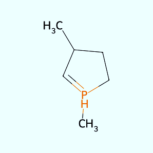 CC1C=[PH](C)CC1